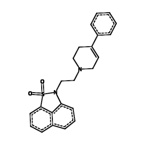 O=S1(=O)c2cccc3cccc(c23)N1CCN1CC=C(c2ccccc2)CC1